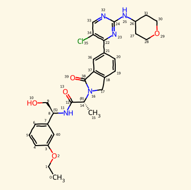 CCOc1cccc([C@@H](CO)NC(=O)[C@@H](C)N2Cc3ccc(-c4nc(NC5CCOCC5)ncc4Cl)cc3C2=O)c1